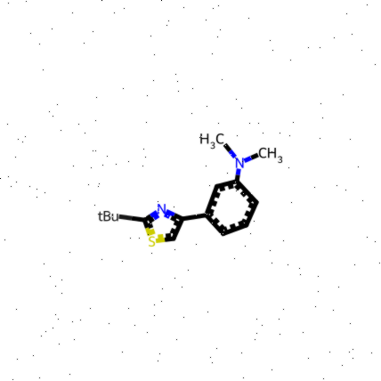 CN(C)c1cccc(-c2csc(C(C)(C)C)n2)c1